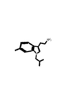 Cc1ccc2c(CCN)cn(CC(C)C)c2c1